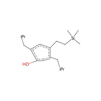 CC(C)Cc1cc(CC[Si](C)(C)C)c(CC(C)C)cc1O